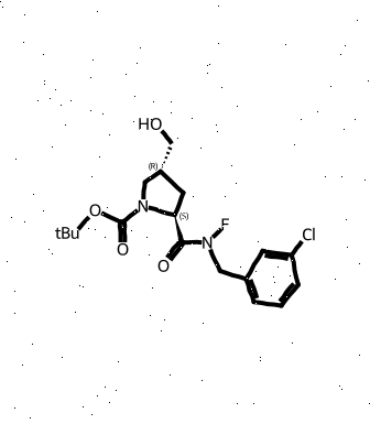 CC(C)(C)OC(=O)N1C[C@H](CO)C[C@H]1C(=O)N(F)Cc1cccc(Cl)c1